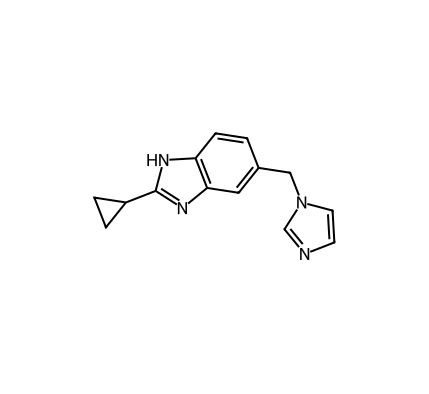 c1cn(Cc2ccc3[nH]c(C4CC4)nc3c2)cn1